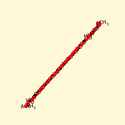 CC(=O)[C@@H](N)CSSCCC(=O)NCCOCCOCCOCCOCCOCCOCCOCCOCCOCCOCCOCCOCCOCCOCCOCCOCCOCCOCCOCCOCCOCCOCCOCCOCCC(=O)NCCOCCOCCOCCn1cc(C)nn1